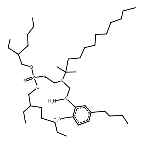 CCCCCCCCCCC(C)(C)N(CSP(=S)(OCC(CC)CCCC)OCC(CC)CCCCC)CN(N)c1cc(CCCC)ccc1N